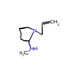 C=CCN1CCCC1NC